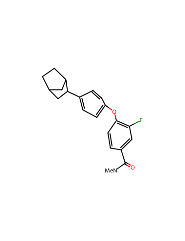 CNC(=O)c1ccc(Oc2ccc(C3CC4CCC3C4)cc2)c(F)c1